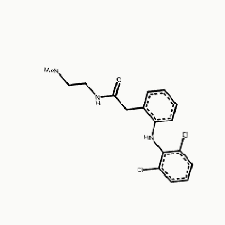 CNCCNC(=O)Cc1ccccc1Nc1c(Cl)cccc1Cl